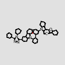 c1ccc(-c2nnc(-c3ccc4c(c3)c3ccccc3n4-c3ccccc3-c3cccc(-n4c5ccccc5c5c6oc7ccccc7c6ccc54)c3)n2-c2ccccc2)cc1